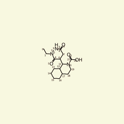 CCN(C)C(=O)C(CC(N)=O)C1C2CCCCC2CCN1C(=O)O